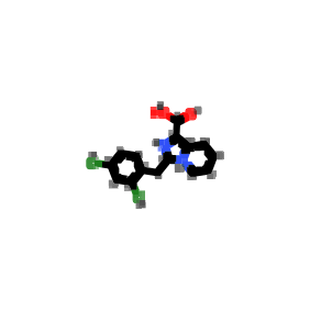 O=C(O)c1nc(Cc2ccc(Cl)cc2Cl)n2ccccc12